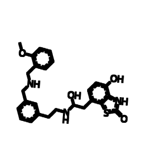 COc1ccccc1CNCc1cccc(CCNC(O)Cc2ccc(O)c3[nH]c(=O)sc23)c1